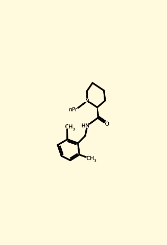 CCCN1CCCC[C@H]1C(=O)NCc1c(C)cccc1C